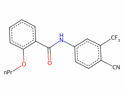 CCCOc1ccccc1C(=O)Nc1ccc(C#N)c(C(F)(F)F)c1